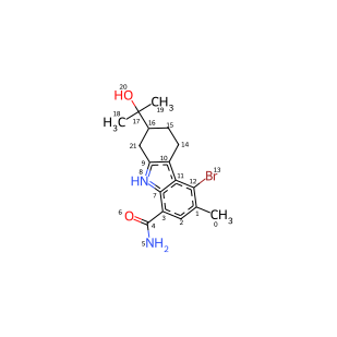 Cc1cc(C(N)=O)c2[nH]c3c(c2c1Br)CCC(C(C)(C)O)C3